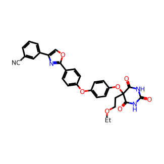 CCOCCC1(Oc2ccc(Oc3ccc(-c4nc(-c5cccc(C#N)c5)co4)cc3)cc2)C(=O)NC(=O)NC1=O